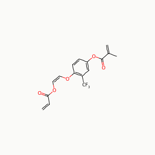 C=CC(=O)O/C=C\Oc1ccc(OC(=O)C(=C)C)cc1C(F)(F)F